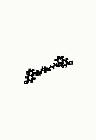 Clc1ccc2c(NCCCCNCCCCNc3ccnc4cc(Cl)ccc34)ccnc2c1